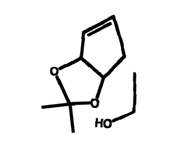 CC1(C)OC2C=CCC2O1.CCO